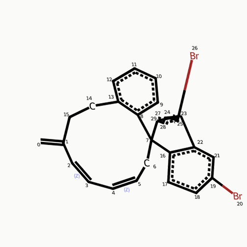 C=C1/C=C\C=C/CC2(c3ccccc3CC1)c1ccc(Br)cc1-c1cc(Br)ccc12